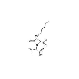 C=C(C)C(C(=O)O)N1C(=O)C(NCCCCC)C1[S+]([O-])Cl